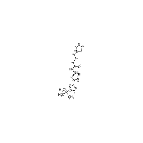 CC(C)(C)c1ccc(-c2cc(NC(=O)CCCN3CCCC3)[nH]n2)s1